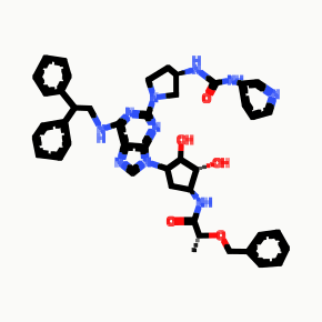 C[C@@H](OCc1ccccc1)C(=O)N[C@H]1CC(n2cnc3c(NCC(c4ccccc4)c4ccccc4)nc(N4CC[C@@H](NC(=O)Nc5cccnc5)C4)nc32)C(O)[C@@H]1O